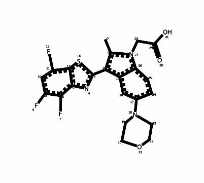 Cc1c(-c2nc3c(F)c(F)cc(F)c3s2)c2cc(N3CCOCC3)ccc2n1CC(=O)O